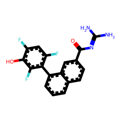 NC(N)=NC(=O)c1ccc2cccc(-c3c(F)cc(F)c(O)c3F)c2c1